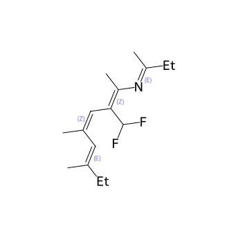 CC/C(C)=C/C(C)=C\C(=C(C)\N=C(/C)CC)C(F)F